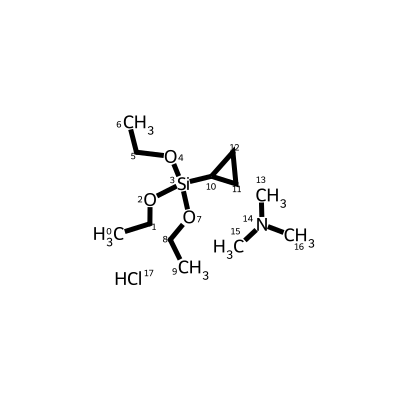 CCO[Si](OCC)(OCC)C1CC1.CN(C)C.Cl